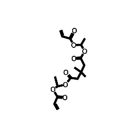 C=CC(=O)OC(C)OC(=O)CC(C)(C)CC(=O)OC(C)OC(=O)C=C